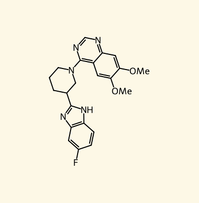 COc1cc2ncnc(N3CCCC(c4nc5cc(F)ccc5[nH]4)C3)c2cc1OC